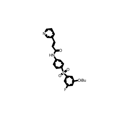 CC(C)COc1cc(F)cc(S(=O)(=O)c2ccc(NC(=O)/C=C/c3cccnc3)cc2)c1